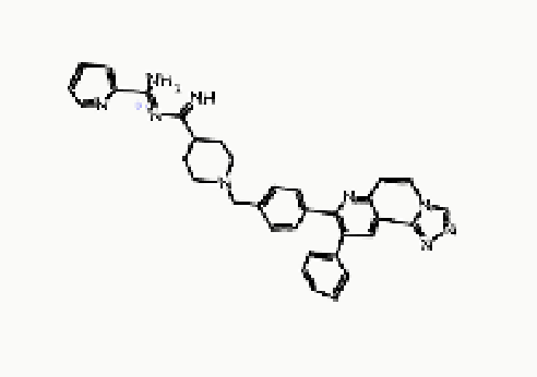 N=C(/N=C(\N)c1ccccn1)C1CCN(Cc2ccc(-c3nc4ccn5cnnc5c4cc3-c3ccccc3)cc2)CC1